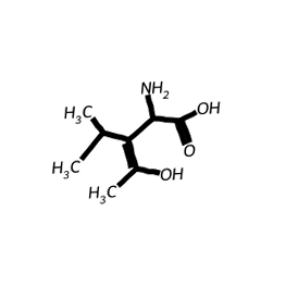 C/C(O)=C(\C(C)C)C(N)C(=O)O